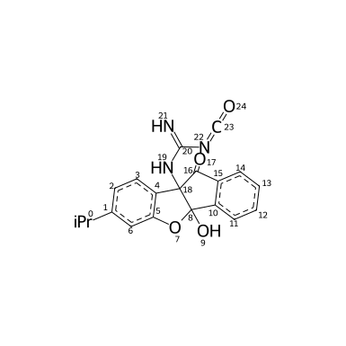 CC(C)c1ccc2c(c1)OC1(O)c3ccccc3C(=O)C21NC(=N)N=C=O